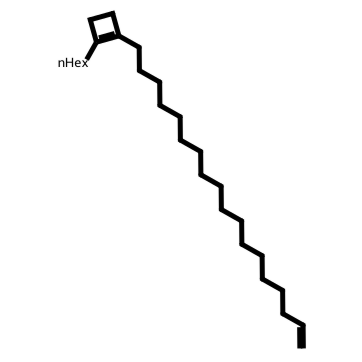 C=CCCCCCCCCCCCCCCCCC1=C(CCCCCC)CC1